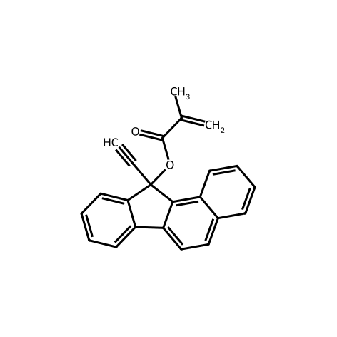 C#CC1(OC(=O)C(=C)C)c2ccccc2-c2ccc3ccccc3c21